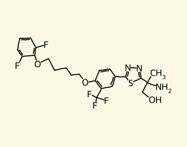 CC(N)(CO)c1nnc(-c2ccc(OCCCCCOc3c(F)cccc3F)c(C(F)(F)F)c2)s1